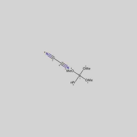 CCC[Si](OC)(OC)OC.N#CC#N